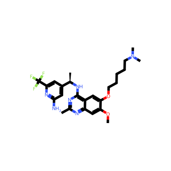 COc1cc2nc(C)nc(N[C@H](C)c3cc(N)nc(C(F)(F)F)c3)c2cc1OCCCCCN(C)C